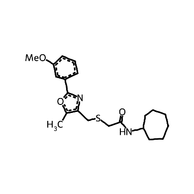 COc1cccc(-c2nc(CSCC(=O)NC3CCCCCC3)c(C)o2)c1